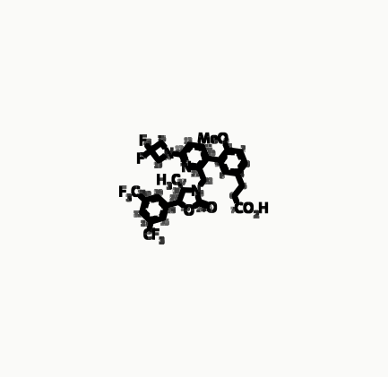 COc1ccc(CCC(=O)O)cc1-c1ccc(N2CC(F)(F)C2)nc1CN1C(=O)OC(c2cc(C(F)(F)F)cc(C(F)(F)F)c2)[C@@H]1C